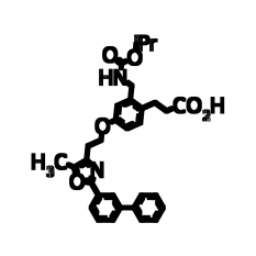 Cc1oc(-c2cccc(-c3ccccc3)c2)nc1CCOc1ccc(CCC(=O)O)c(CNC(=O)OC(C)C)c1